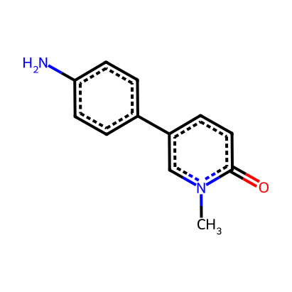 Cn1cc(-c2ccc(N)cc2)ccc1=O